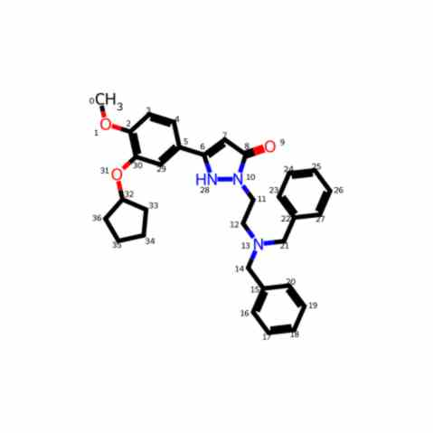 COc1ccc(-c2cc(=O)n(CCN(Cc3ccccc3)Cc3ccccc3)[nH]2)cc1OC1CCCC1